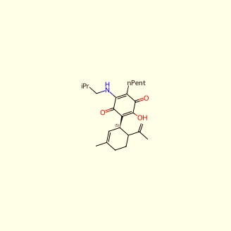 C=C(C)C1CCC(C)=C[C@H]1C1=C(O)C(=O)C(CCCCC)=C(NCC(C)C)C1=O